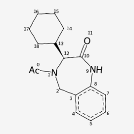 CC(=O)N1Cc2ccccc2NC(=O)[C@@H]1C1CCCCC1